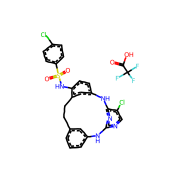 O=C(O)C(F)(F)F.O=S(=O)(Nc1ccc2cc1CCc1cccc(c1)Nc1ncc(Cl)c(n1)N2)c1ccc(Cl)cc1